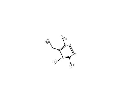 Cc1ccc(O)c(C)c1CN